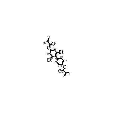 C=C(C)C(=O)Oc1ccc(-c2c(CC)cc(OC(=O)C(=C)C)cc2CC)cc1